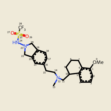 COc1cccc2c1CCCC2CN(C)CCc1ccc2c(c1)CN(NS(=O)(=O)C(F)(F)F)C2